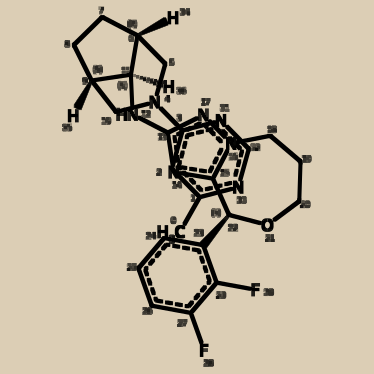 Cc1cc(N2C[C@H]3CC[C@@H](C2)[C@@H]3Nc2nc3n(n2)CCCO[C@H]3c2cccc(F)c2F)ncn1